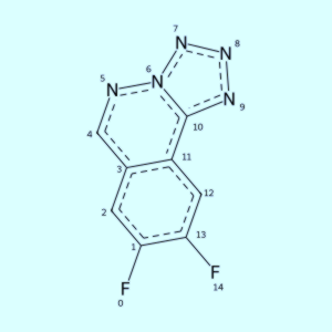 Fc1cc2cnn3nnnc3c2cc1F